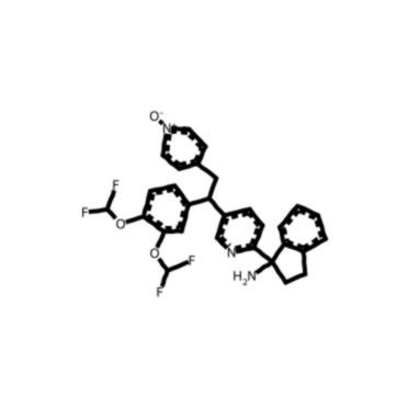 NC1(c2ccc(C(Cc3cc[n+]([O-])cc3)c3ccc(OC(F)F)c(OC(F)F)c3)cn2)CCc2ccccc21